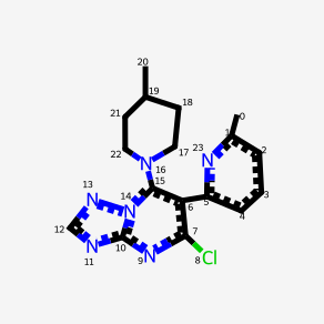 Cc1cccc(-c2c(Cl)nc3ncnn3c2N2CCC(C)CC2)n1